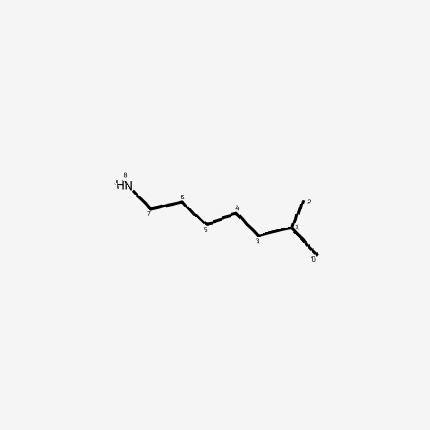 CC(C)CCCCC[NH]